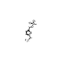 CS(=O)(=O)OCc1ccn(CC(F)(F)F)n1